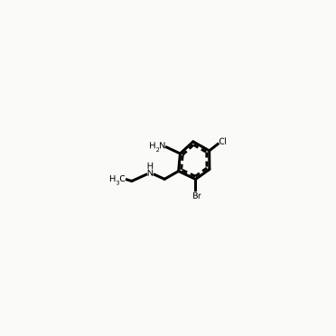 CCNCc1c(N)cc(Cl)cc1Br